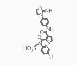 N=C1OCCN1c1ccc(NC(=O)c2ccsc2C(=O)N(CS(=O)(=O)O)c2ccc(Cl)cn2)cc1